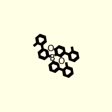 Cc1ccccc1-c1cccc2c1Oc1ccc(-c3ccccc3C)c3c1B2c1cccc(-c2ccccc2C)c1O3